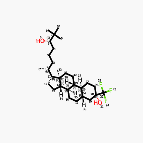 C[C@H](CCC[C@H](O)C(C)(C)C)[C@H]1CC[C@H]2[C@@H]3CC[C@H]4C[C@](O)(C(F)(F)F)CC[C@@H]4[C@H]3CC[C@]12C